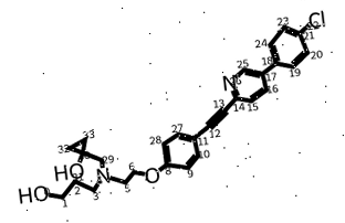 OCCCN(CCOc1ccc(C#Cc2ccc(-c3ccc(Cl)cc3)cn2)cc1)CC1(O)CC1